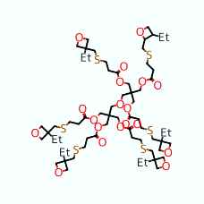 CCC1COC1CSCCC(=O)OCC(COCC(COC(=O)CCSCC1(CC)COC1)(COC(=O)CCSCC1(CC)COC1)COC(=O)CCSCC1(CC)COC1)(COC(=O)CCSCC1(CC)COC1)COC(=O)CCSCC1(CC)COC1